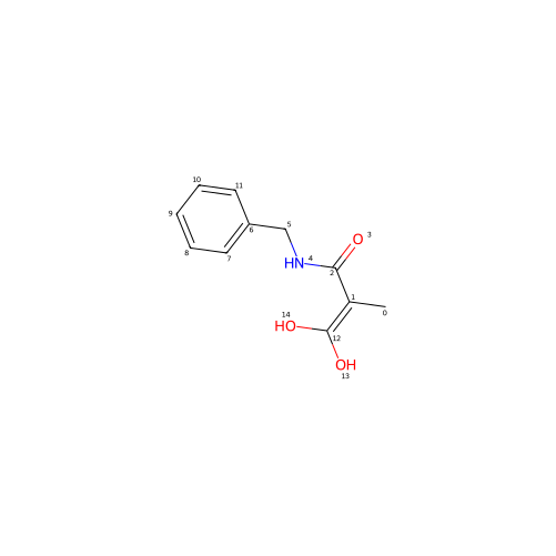 CC(C(=O)NCc1ccccc1)=C(O)O